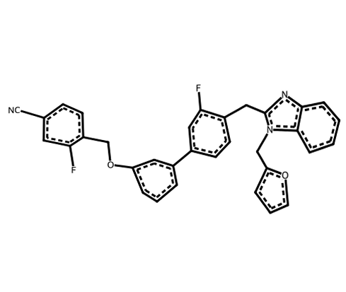 N#Cc1ccc(COc2cccc(-c3ccc(Cc4nc5ccccc5n4Cc4ccco4)c(F)c3)c2)c(F)c1